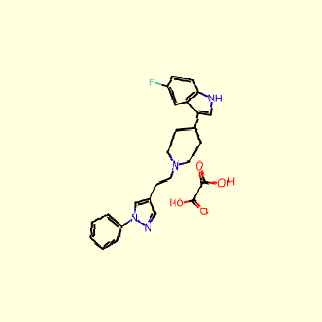 Fc1ccc2[nH]cc(C3CCN(CCc4cnn(-c5ccccc5)c4)CC3)c2c1.O=C(O)C(=O)O